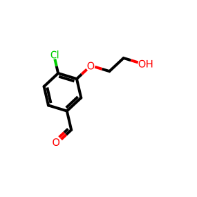 O=Cc1ccc(Cl)c(OCCO)c1